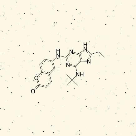 CCc1nc2c(NC(C)(C)C)nc(Nc3ccc4oc(=O)ccc4c3)nc2[nH]1